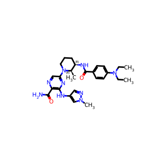 CCN(CC)c1ccc(C(=O)N[C@@H]2CCCN(c3cnc(C(N)=O)c(Nc4cnn(C)c4)n3)[C@@H]2C)cc1